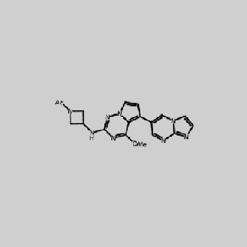 COc1nc(NC2CN(C(C)=O)C2)nn2ccc(-c3cnc4nccn4c3)c12